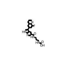 O=C(O)NCCCNC(=O)c1cnc2[nH]cc(-c3cc(F)c4ncccc4c3)c2c1